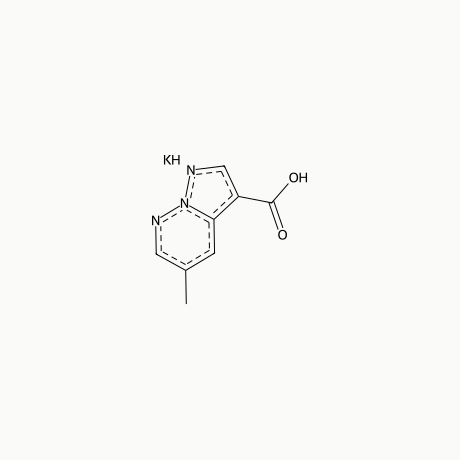 Cc1cnn2ncc(C(=O)O)c2c1.[KH]